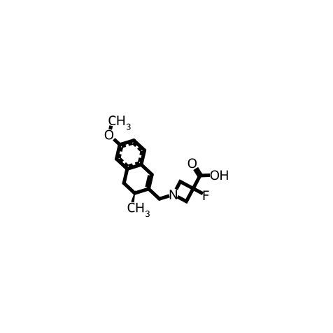 COc1ccc2c(c1)C[C@H](C)C(CN1CC(F)(C(=O)O)C1)=C2